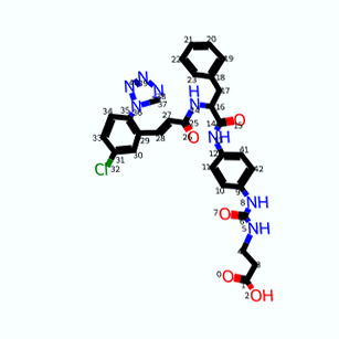 O=C(O)CCNC(=O)Nc1ccc(NC(=O)C(Cc2ccccc2)NC(=O)C=Cc2cc(Cl)ccc2-n2cnnn2)cc1